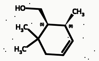 C[C@@H]1C=CCC(C)(C)[C@H]1CO